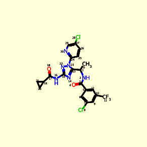 CC(NC(=O)c1cc(Cl)cc(C(F)(F)F)c1)c1nc(NC(=O)C2CC2)nn1-c1ccc(Cl)cn1